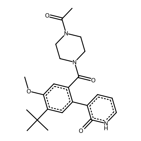 COc1cc(C(=O)N2CCN(C(C)=O)CC2)c(-c2ccc[nH]c2=O)cc1C(C)(C)C